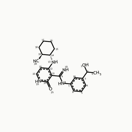 CC(O)c1cccc(NC(=N)c2c(N[C@H]3CCCC[C@@H]3C#N)cc[nH]c2=O)c1